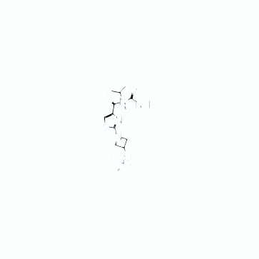 CC(C)[N+](C)(C(N)=O)C(=O)c1csc(N2CC(OS(C)(=O)=O)C2)n1